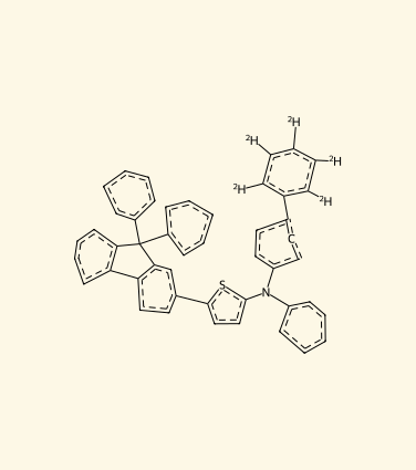 [2H]c1c([2H])c([2H])c(-c2ccc(N(c3ccccc3)c3ccc(-c4ccc5c(c4)C(c4ccccc4)(c4ccccc4)c4ccccc4-5)s3)cc2)c([2H])c1[2H]